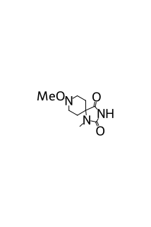 CON1CCC2(CC1)C(=O)NC(=O)N2C